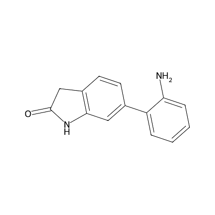 Nc1ccccc1-c1ccc2c(c1)NC(=O)C2